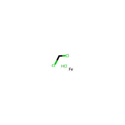 Cl.ClCCl.[Fe]